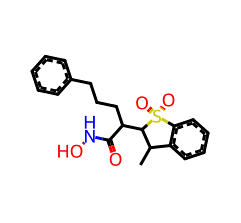 CC1c2ccccc2S(=O)(=O)C1C(CCCc1ccccc1)C(=O)NO